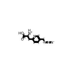 [N-]=[N+]=NCc1ccc(C[C@H](N)C(=O)O)nc1